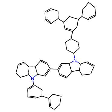 C1=CCC(C2C=C(C3CCC(N4C5C=C(C6=CC7C(C=C6)C6C=CCCC6N7C6=CC=CC(C7=CCCCC7)C6)C=CC5C5CCC=CC54)CC3)CC(C3C=CCCC3)C2)C=C1